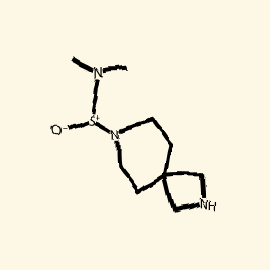 CN(C)[S+]([O-])N1CCC2(CC1)CNC2